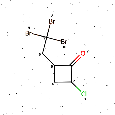 O=C1C(Cl)CC1CC(Br)(Br)Br